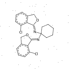 Clc1cccc2c1C(=NC1(N=C3OCc4cccc(Cl)c43)CCCCC1)OC2